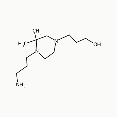 CC1(C)CN(CCCO)CCN1CCCN